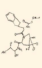 CCCC(NC(=O)[C@@H]1[C@@H]2[C@H](CN1C(=O)[C@@H](NC(=O)OC(C)(C)C)C1Cc3ccccc3C1)C2(Cl)Cl)C(=O)C(C)=O